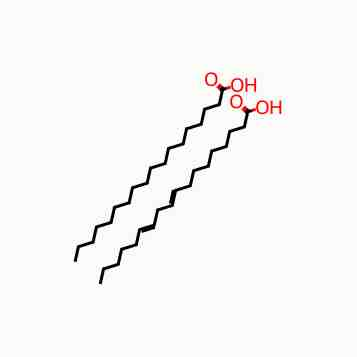 CCCCCC=CCC=CCCCCCCCC(=O)O.CCCCCCCCCCCCCCCCCC(=O)O